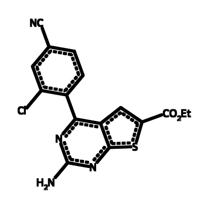 CCOC(=O)c1cc2c(-c3ccc(C#N)cc3Cl)nc(N)nc2s1